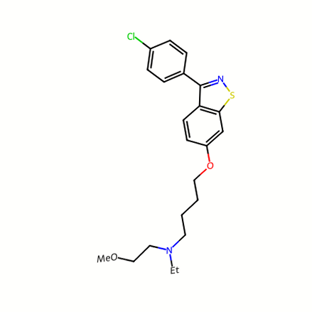 CCN(CCCCOc1ccc2c(-c3ccc(Cl)cc3)nsc2c1)CCOC